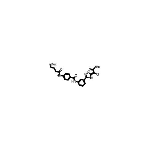 CCCCCCCCCCCCCC(=O)Nc1ccc(C(=O)Nc2cccc(-c3nn4nc(C(C)(C)C)c(Cl)c4[nH]3)c2)cc1